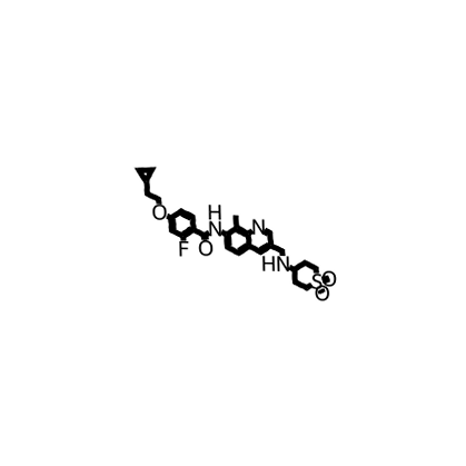 Cc1c(NC(=O)c2ccc(OCCC3CC3)cc2F)ccc2cc(CNC3CCS(=O)(=O)CC3)cnc12